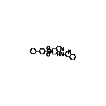 O=S(=O)(c1ccc(-c2ccccc2)cc1)N1CCc2c(ccnc2Nc2cnc3ccccc3c2)C1